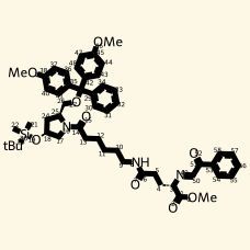 COC(=O)[C@H](CCC(=O)NCCCCCC(=O)N1C[C@H](O[Si](C)(C)C(C)(C)C)C[C@H]1COC(c1ccccc1)(c1ccc(OC)cc1)c1ccc(OC)cc1)N=CC(=O)c1ccccc1